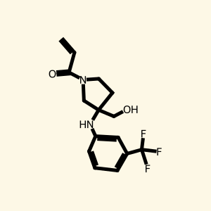 C=CC(=O)N1CCC(CO)(Nc2cccc(C(F)(F)F)c2)C1